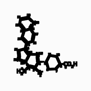 Nc1c(Br)c([C@H]2CC[C@@H](C(=O)O)CC2)nc2c(-c3ccc4ncccc4c3)cnn12